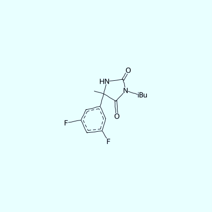 CCC(C)N1C(=O)NC(C)(c2cc(F)cc(F)c2)C1=O